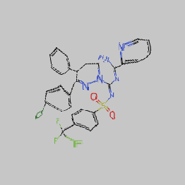 N/C(=N\C(=N\S(=O)(=O)c1ccc(C(F)(F)F)cc1)N1CCC(c2ccccc2)C(c2ccc(Cl)cc2)=N1)c1ccccn1